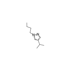 CCCCn1cc(C(C)C)cn1